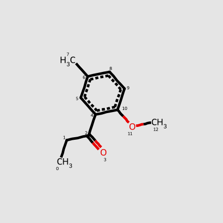 CCC(=O)c1cc(C)ccc1OC